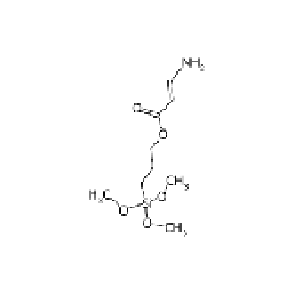 CO[Si](CCCOC(=O)C=CN)(OC)OC